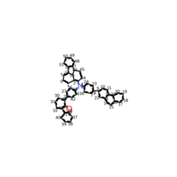 C1=CC2=C(N(c3ccc(-c4ccc5c(ccc6ccccc65)c4)cc3)c3ccc(-c4cccc5c4oc4ccccc45)cc3)C=CC3c4ccccc4C(=C1)C23